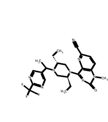 CC[C@H]1CN(C(C)c2cnc(C(F)(F)F)nc2)[C@H](CC)CN1c1nc(=O)n(C)c2ccc(C#N)nc12